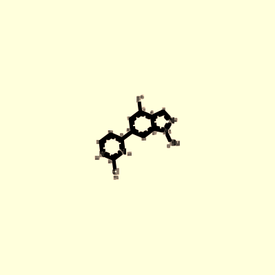 CCC(C)n1ncc2c(F)cc(-c3ccnc(Cl)n3)cc21